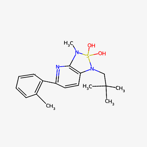 Cc1ccc[c]c1-c1ccc2c(n1)N(C)S(O)(O)N2CC(C)(C)C